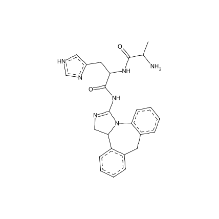 CC(N)C(=O)NC(Cc1c[nH]cn1)C(=O)NC1=NCC2c3ccccc3Cc3ccccc3N12